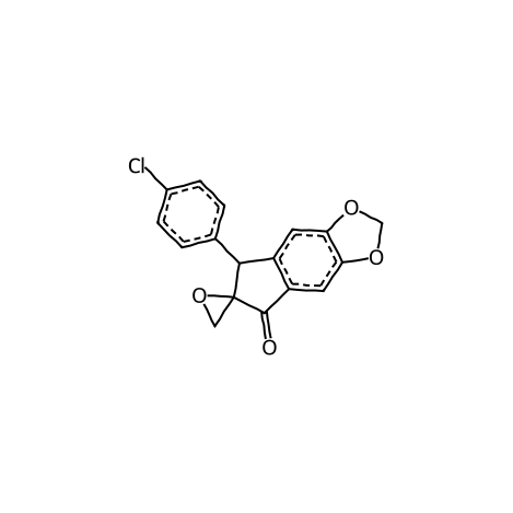 O=C1c2cc3c(cc2C(c2ccc(Cl)cc2)C12CO2)OCO3